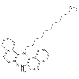 NCCCCCCCCCCN(c1c(N)cnc2ccccc12)c1c(N)cnc2ccccc12